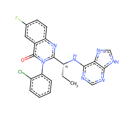 CC[C@@H](Nc1ncnc2[nH]cnc12)c1nc2ccc(F)cc2c(=O)n1-c1ccccc1Cl